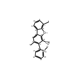 Cc1cc2c(oc3c(C)cccc32)c(C#N)c1-c1cccc[n+]1C